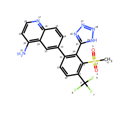 CS(=O)(=O)c1c(C(F)(F)F)ccc(-c2ccc3nccc(N)c3c2)c1-c1nnn[nH]1